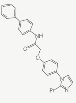 CC(C)c1nccn1-c1ccc(OCC(=O)Nc2ccc(-c3ccccc3)cc2)cc1